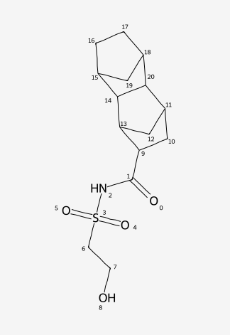 O=C(NS(=O)(=O)CCO)C1CC2CC1C1C3CCC(C3)C21